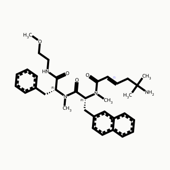 COCCNC(=O)[C@@H](Cc1ccccc1)N(C)C(=O)[C@@H](Cc1ccc2ccccc2c1)N(C)C(=O)/C=C/CC(C)(C)N